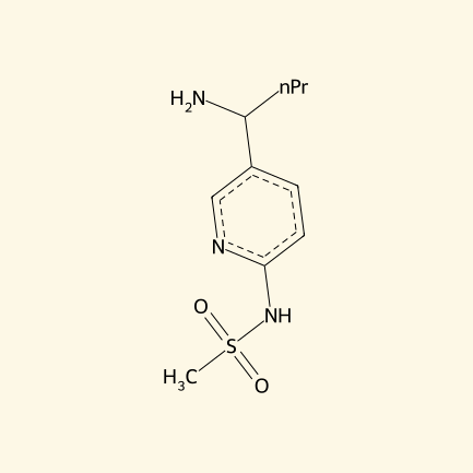 CCCC(N)c1ccc(NS(C)(=O)=O)nc1